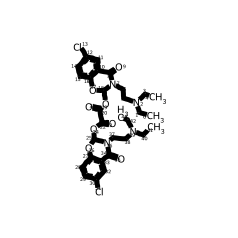 CCN(CC)CCN1C(=O)c2cc(Cl)ccc2OC1OC(=O)C(=O)OC1Oc2ccc(Cl)cc2C(=O)N1CCN(CC)CC